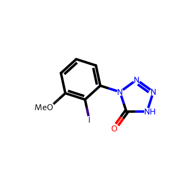 COc1cccc(-n2nn[nH]c2=O)c1I